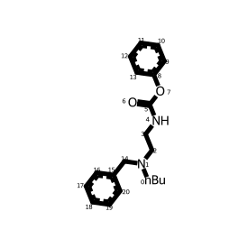 CCCCN(CCNC(=O)Oc1ccccc1)Cc1ccccc1